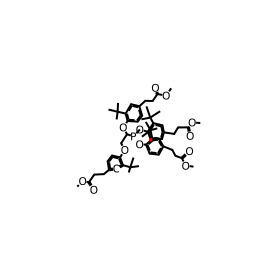 COC(=O)CCc1ccc(OCC(Oc2ccc(CCC(=O)OC)cc2C(C)(C)C)P(Oc2ccc(CCC(=O)OC)cc2C(C)(C)C)Oc2ccc(CCC(=O)OC)cc2C(C)(C)C)c(C(C)(C)C)c1